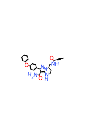 CC#CC(=O)NCC1CCNc2c(C(N)=O)c(-c3ccc(Oc4ccccc4)cc3)nn21